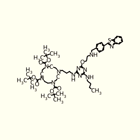 CCCCNc1nc(NCCCN2CCN(C(=O)OC(C)(C)C)CCN(C(=O)OC(C)(C)C)CCN(C(=O)OC(C)(C)C)CC2)nc(OCCNCc2ccc(-c3nc4ccccc4s3)cc2)n1